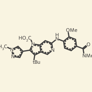 CNC(=O)c1ccc(Nc2cc3c(cn2)c(C(C)(C)C)c(-c2cnn(C)c2)n3C(=O)O)c(OC)c1